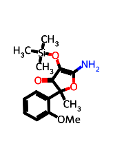 COc1ccccc1C1(C)OC(N)=C(O[Si](C)(C)C)C1=O